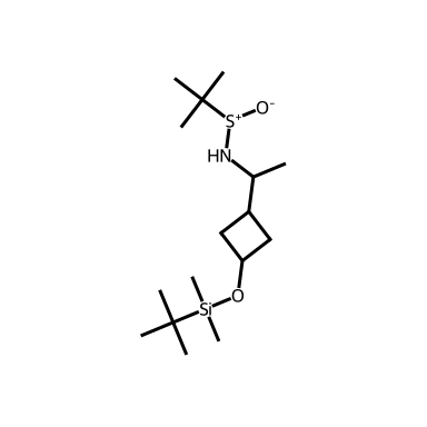 CC(N[S+]([O-])C(C)(C)C)C1CC(O[Si](C)(C)C(C)(C)C)C1